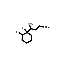 CCCCCCCCCCCC(N)C1(CC)CCCCC1CC